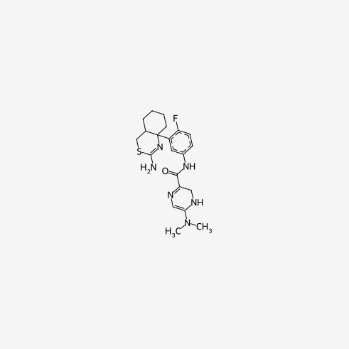 CN(C)C1=CN=C(C(=O)Nc2ccc(F)c(C34CCCCC3CSC(N)=N4)c2)CN1